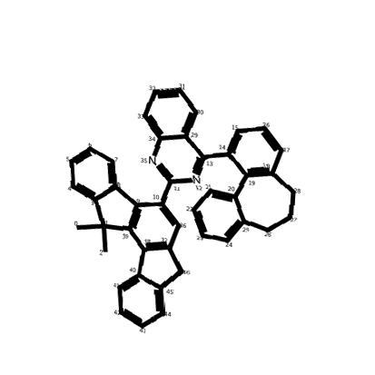 CC1(C)c2ccccc2-c2c(-c3nc(-c4cccc5c4-c4ccccc4CCC5)c4ccccc4n3)cc3c(c21)-c1ccccc1C3